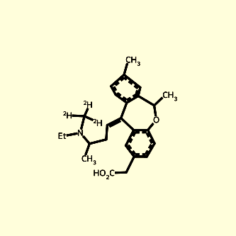 [2H]C([2H])([2H])N(CC)C(C)C/C=C1\c2cc(CC(=O)O)ccc2OC(C)c2cc(C)ccc21